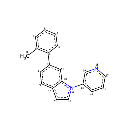 Cc1ccccc1-c1ccc2ccn(-c3cccnc3)c2c1